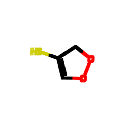 SC1=COOC1